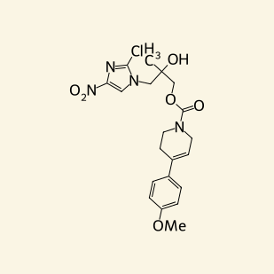 COc1ccc(C2=CCN(C(=O)OCC(C)(O)Cn3cc([N+](=O)[O-])nc3Cl)CC2)cc1